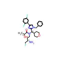 C[C@H](O)C(=O)N(CC[C@H](N)CF)[C@@H](c1nc(-c2cc(F)ccc2F)cn1Cc1ccccc1)C1CCOCC1